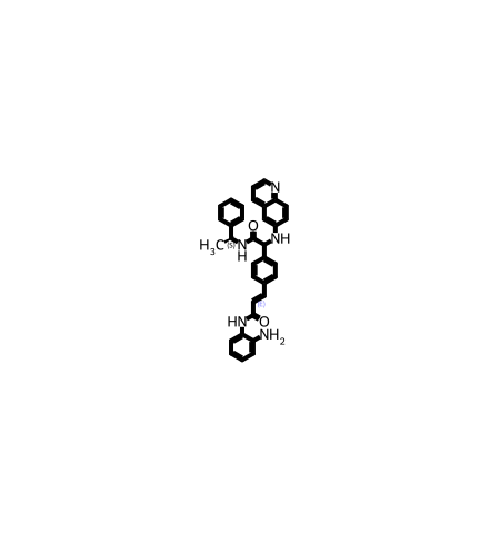 C[C@H](NC(=O)C(Nc1ccc2ncccc2c1)c1ccc(/C=C/C(=O)Nc2ccccc2N)cc1)c1ccccc1